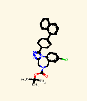 CC(C)(C)OC(=O)N1Cc2cc(Cl)ccc2-n2c(nnc2C2CC=C(c3cccc4ccccc34)CC2)C1